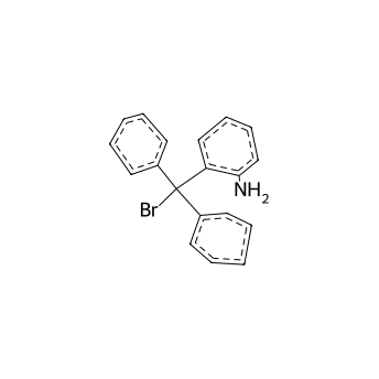 Nc1ccccc1C(Br)(c1ccccc1)c1ccccc1